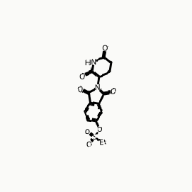 CCS(=O)(=O)Oc1ccc2c(c1)C(=O)N(C1CCC(=O)NC1=O)C2=O